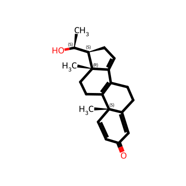 C[C@H](O)[C@H]1CC=C2C3=C(CC[C@@]21C)[C@@]1(C)C=CC(=O)C=C1CC3